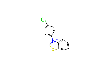 Clc1ccc(-[n+]2csc3ccccc32)cc1